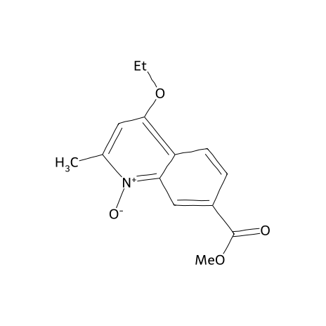 CCOc1cc(C)[n+]([O-])c2cc(C(=O)OC)ccc12